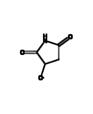 [O]C1CC(=O)NC1=O